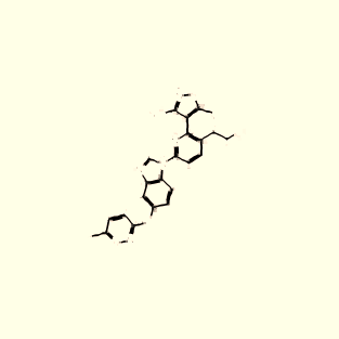 Cc1ccc(Oc2ccc3c(c2)ncn3-c2ccc(CCO)c(-c3c(C#N)n[nH]c3C)n2)nn1